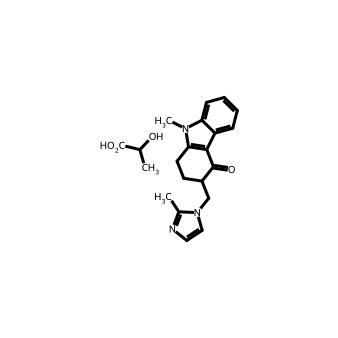 CC(O)C(=O)O.Cc1nccn1CC1CCc2c(c3ccccc3n2C)C1=O